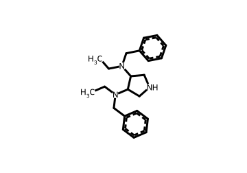 CCN(Cc1ccccc1)C1CNCC1N(CC)Cc1ccccc1